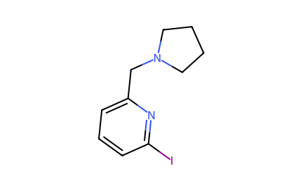 Ic1cccc(CN2CCCC2)n1